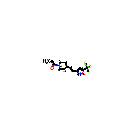 C=CC(=O)N1CCC(/C=C/c2cc(C(F)(F)F)on2)CC1